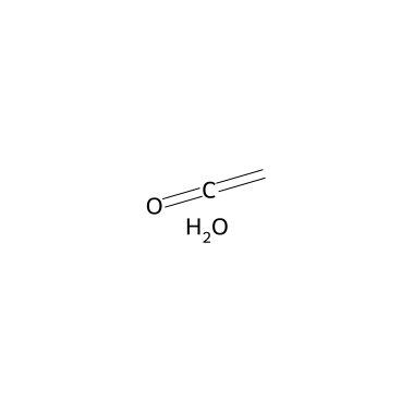 C=C=O.O